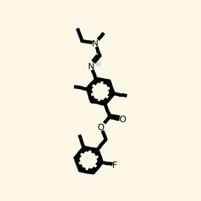 CCN(C)/C=N/c1cc(C)c(C(=O)OCc2c(C)cccc2F)cc1C